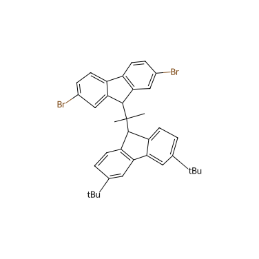 CC(C)(C)c1ccc2c(c1)-c1cc(C(C)(C)C)ccc1C2C(C)(C)C1c2cc(Br)ccc2-c2ccc(Br)cc21